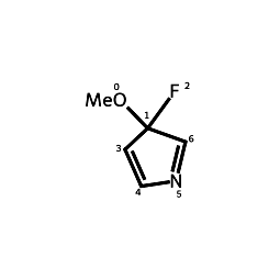 COC1(F)C=CN=C1